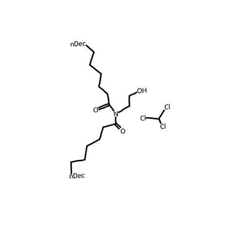 CCCCCCCCCCCCCCCC(=O)N(CCO)C(=O)CCCCCCCCCCCCCCC.ClC(Cl)Cl